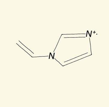 C=CN1C=C[N+]=C1